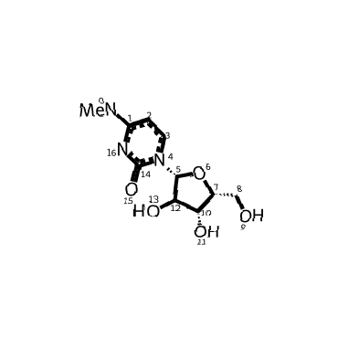 CNc1ccn([C@@H]2O[C@H](CO)[C@H](O)C2O)c(=O)n1